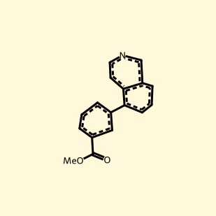 COC(=O)c1cccc(-c2cccc3cnccc23)c1